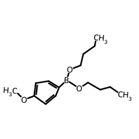 CCCCOB(OCCCC)c1ccc(OC)cc1